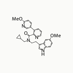 COc1ccc2[nH]cc(CCN(CC3CC3)C(=O)c3ncccc3-c3ccc(OC)nc3)c2c1